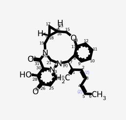 C=C(/C=C\C=C/C)[C@@H]1c2ccccc2OC[C@@H]2C[C@H]2CN2CN1n1ccc(=O)c(O)c1C2=O